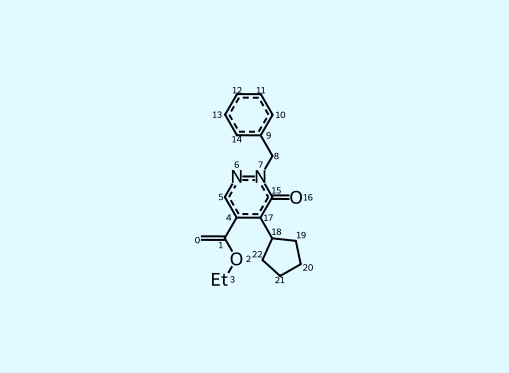 C=C(OCC)c1cnn(Cc2ccccc2)c(=O)c1C1CCCC1